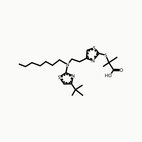 CCCCCCCN(CCc1csc(SC(C)(C)C(=O)O)n1)c1nc(C(C)(C)C)cs1